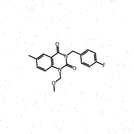 COCn1c(=O)n(Cc2ccc(F)cc2)c(=O)c2cc(C)ccc21